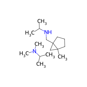 CC(C)N(C)C.CC(C)NCC12CCCC1(C)C2